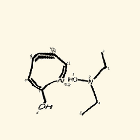 CCN(O)CC.Oc1ccccn1